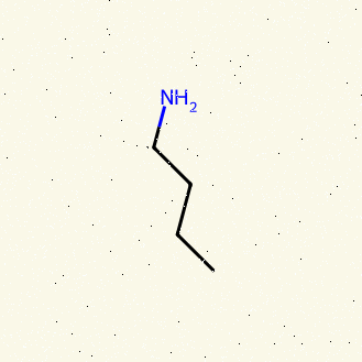 CCC[CH]N